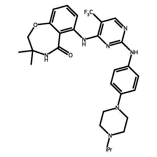 CC(C)N1CCN(c2ccc(Nc3ncc(C(F)(F)F)c(Nc4cccc5c4C(=O)NC(C)(C)CO5)n3)cc2)CC1